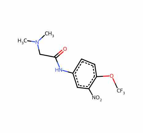 CN(C)CC(=O)Nc1ccc(OC(F)(F)F)c([N+](=O)[O-])c1